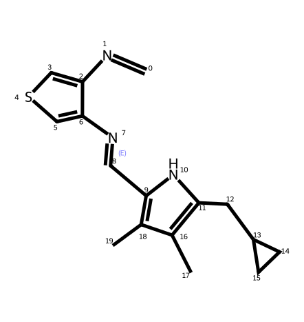 C=Nc1cscc1/N=C/c1[nH]c(CC2CC2)c(C)c1C